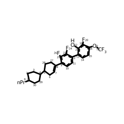 CCCC1CCC(C2CC=C(c3ccc(-c4ccc(OC(F)(F)F)c(F)c4O)c(F)c3F)CC2)CC1